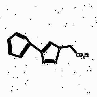 CCOC(=O)Cn1cc(-c2[c]cccc2)nn1